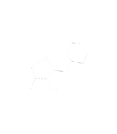 CCCc1c(F)cccc1OC1CCOCC1